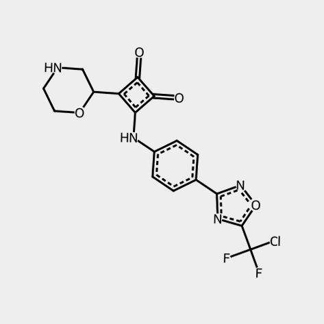 O=c1c(Nc2ccc(-c3noc(C(F)(F)Cl)n3)cc2)c(C2CNCCO2)c1=O